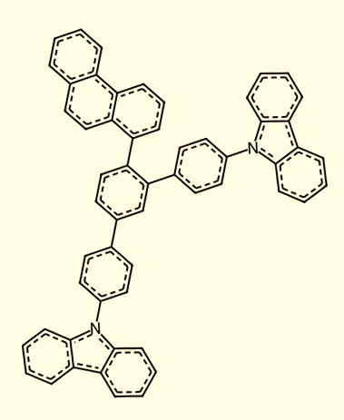 c1ccc2c(c1)ccc1c(-c3ccc(-c4ccc(-n5c6ccccc6c6ccccc65)cc4)cc3-c3ccc(-n4c5ccccc5c5ccccc54)cc3)cccc12